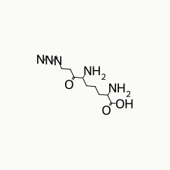 [N-]=[N+]=NCCC(=O)C(N)CCCC(N)C(=O)O